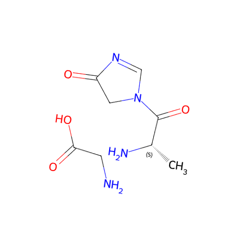 C[C@H](N)C(=O)N1C=NC(=O)C1.NCC(=O)O